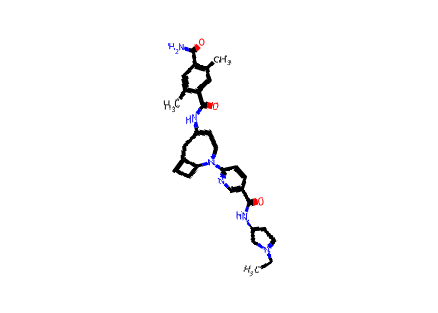 CCN1CC[C@H](NC(=O)c2ccc(N3CCC(NC(=O)c4cc(C)c(C(N)=O)cc4C)CC4CCC43)nc2)C1